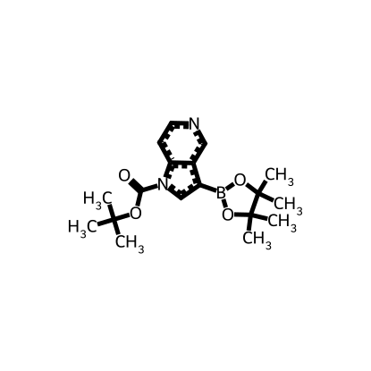 CC(C)(C)OC(=O)n1cc(B2OC(C)(C)C(C)(C)O2)c2cnccc21